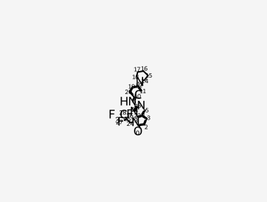 O=c1ccc2cnc(Nc3ccc(N4CCCCC4)cc3)nc2n1CC(F)(F)C(F)(F)F